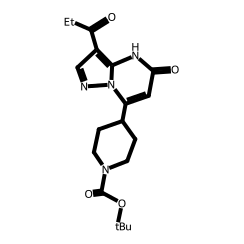 CCC(=O)c1cnn2c(C3CCN(C(=O)OC(C)(C)C)CC3)cc(=O)[nH]c12